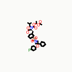 CC(=O)OC(C)OC(=O)N1C(C(C)C)OC(=O)[C@@H]1Cc1cccc(S(=O)(=O)N2CC(Oc3ccc(F)cc3)(c3ccccc3)C2)c1